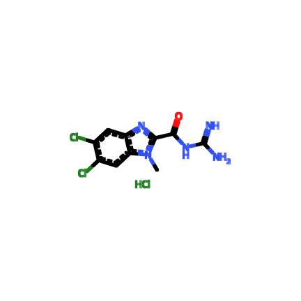 Cl.Cn1c(C(=O)NC(=N)N)nc2cc(Cl)c(Cl)cc21